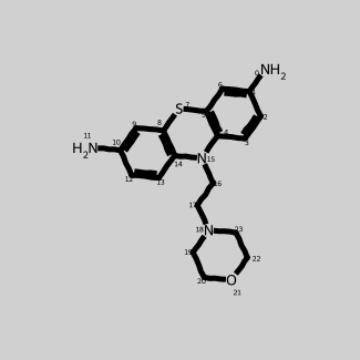 Nc1ccc2c(c1)Sc1cc(N)ccc1N2CCN1CCOCC1